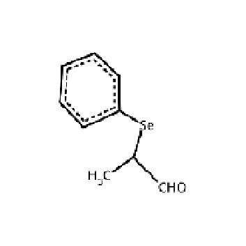 CC(C=O)[Se]c1ccccc1